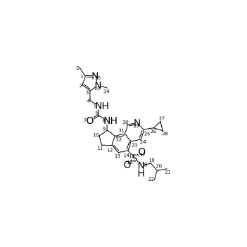 Cc1cc(CNC(=O)NC2CCc3cc(S(=O)(=O)NCC(C)C)c4cc(C5CC5)ncc4c32)n(C)n1